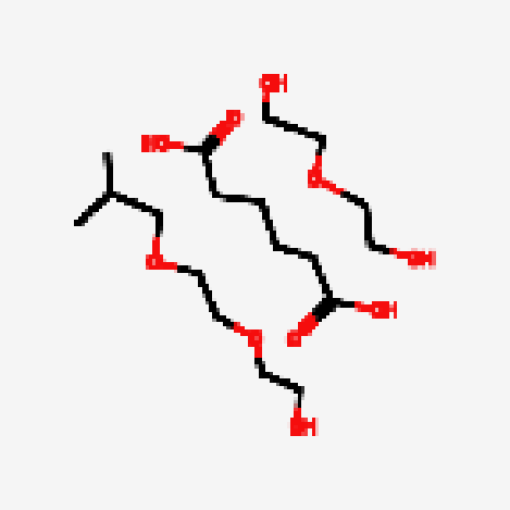 CC(C)COCCOCCO.O=C(O)CCCCC(=O)O.OCCOCCO